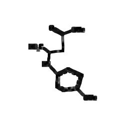 COC(=O)CC(Nc1ccc(OC)cc1)C(=O)O